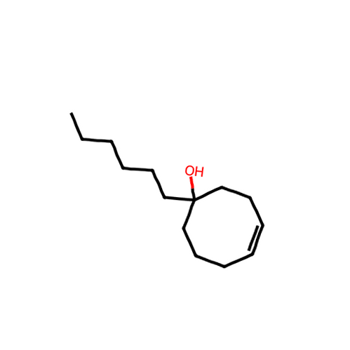 CCCCCCC1(O)CC/C=C\CCC1